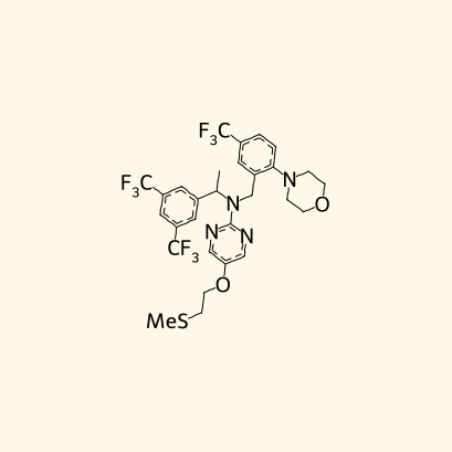 CSCCOc1cnc(N(Cc2cc(C(F)(F)F)ccc2N2CCOCC2)C(C)c2cc(C(F)(F)F)cc(C(F)(F)F)c2)nc1